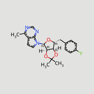 Cc1ncnc2c1ccn2[C@H]1O[C@H](Cc2ccc(F)cc2)[C@H]2OC(C)(C)O[C@H]21